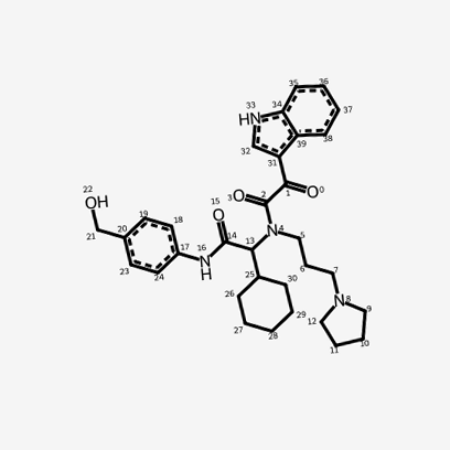 O=C(C(=O)N(CCCN1CCCC1)C(C(=O)Nc1ccc(CO)cc1)C1CCCCC1)c1c[nH]c2ccccc12